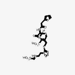 O=C(Cc1cccs1)NC1C(=O)N2C(C(=O)O)=C(CSc3nnnn3CCNCS(=O)(=O)O)CS[C@H]12